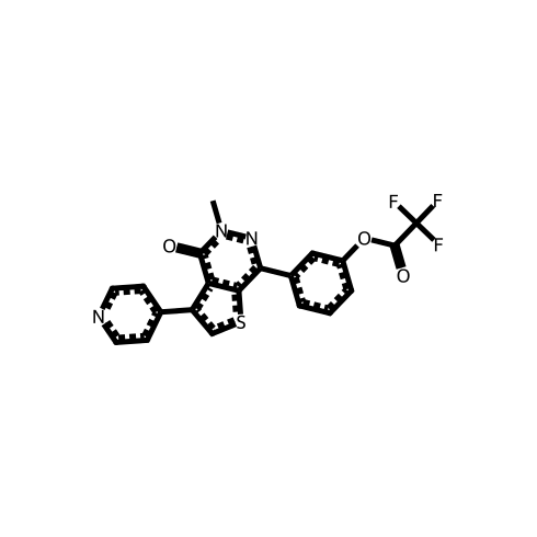 Cn1nc(-c2cccc(OC(=O)C(F)(F)F)c2)c2scc(-c3ccncc3)c2c1=O